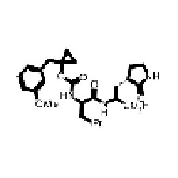 COc1cccc(CC2(OC(=O)NC(CC(C)C)C(=O)NC(C[C@@H]3CCNC3=O)C(=O)O)CC2)c1